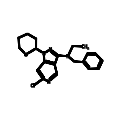 CCN(Cc1ccccc1)c1nn(C2CCCCO2)c2cc(Cl)ncc12